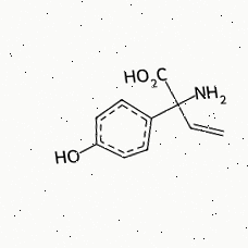 C=CC(N)(C(=O)O)c1ccc(O)cc1